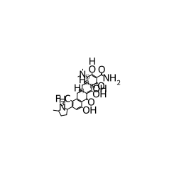 CC1CCC(c2cc(O)c3c(c2C(F)(F)F)C[C@H]2C[C@H]4[C@H](N(C)C)C(O)=C(C(N)=O)C(=O)[C@@]4(O)C(O)=C2C3=O)N1